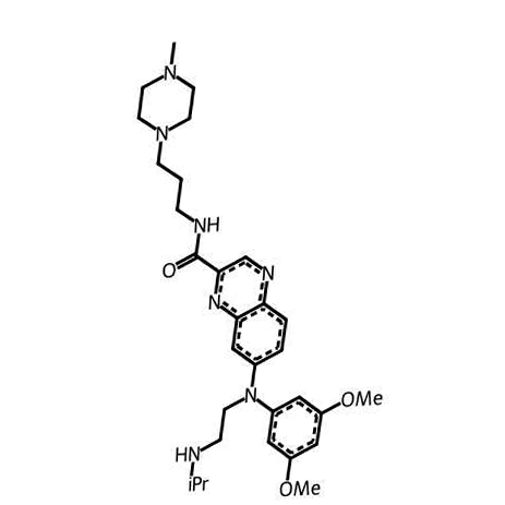 COc1cc(OC)cc(N(CCNC(C)C)c2ccc3ncc(C(=O)NCCCN4CCN(C)CC4)nc3c2)c1